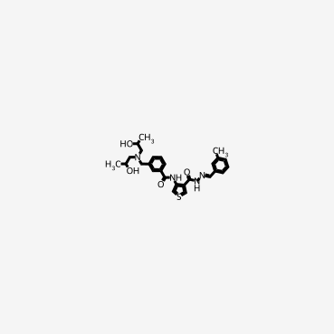 Cc1cccc(C=NNC(=O)c2cscc2NC(=O)c2cccc(CN(CC(C)O)CC(C)O)c2)c1